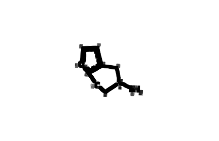 NN1CCc2occc2C1